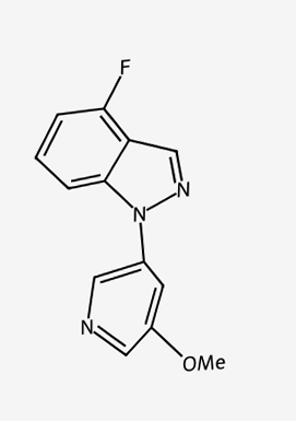 COc1cncc(-n2ncc3c(F)cccc32)c1